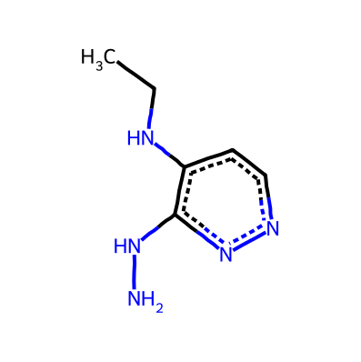 CCNc1ccnnc1NN